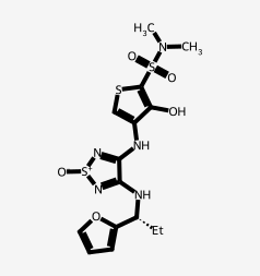 CC[C@@H](Nc1n[s+]([O-])nc1Nc1csc(S(=O)(=O)N(C)C)c1O)c1ccco1